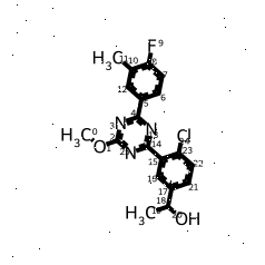 COc1nc(-c2ccc(F)c(C)c2)nc(-c2cc(C(C)O)ccc2Cl)n1